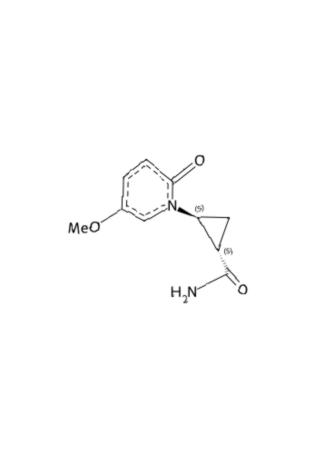 COc1ccc(=O)n([C@H]2C[C@@H]2C(N)=O)c1